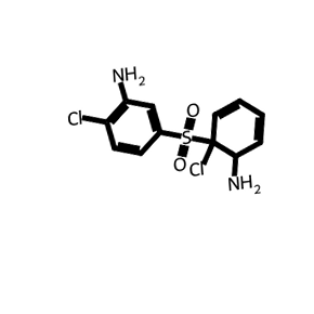 Nc1cc(S(=O)(=O)C2(Cl)C=CC=CC2N)ccc1Cl